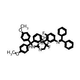 COc1ccc(C(NC2=NCC(F)(F)[C@@](C)(c3cc(N=C(c4ccccc4)c4ccccc4)ccc3F)O2)(c2ccccc2)c2ccc(OC)cc2)cc1